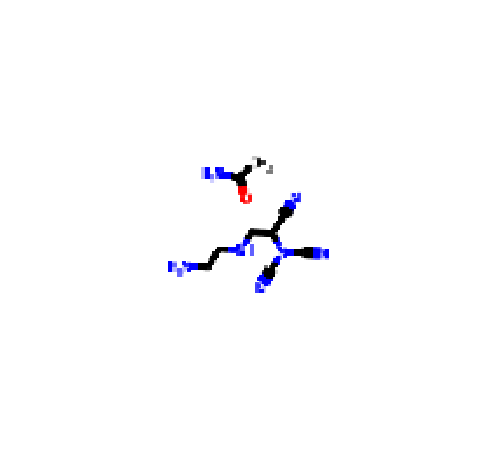 CC(N)=O.N#CC(CNCCN)N(C#N)C#N